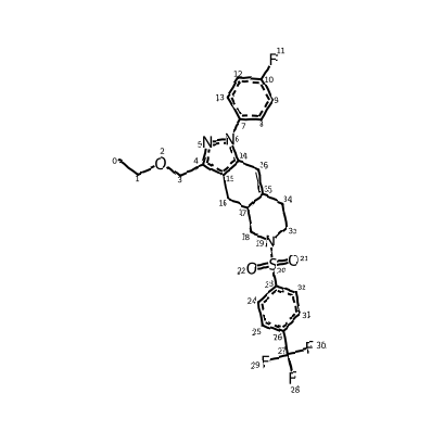 CCOCc1nn(-c2ccc(F)cc2)c2c1CC1CN(S(=O)(=O)c3ccc(C(F)(F)F)cc3)CCC1=C2